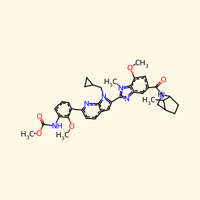 COC(=O)Nc1cccc(-c2ccc3cc(-c4nc5cc(C(=O)N6CC7CCC6[C@@H]7C)cc(OC)c5n4C)n(CC4CC4)c3n2)c1OC